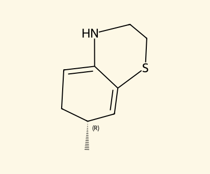 C[C@H]1C=C2SCCNC2=CC1